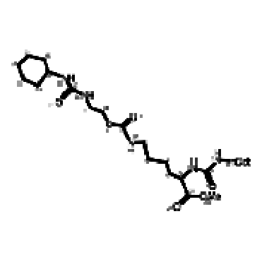 CCCCCCCCNC(=O)NC(CCCCNC(=O)OCCNC(=O)NC1CCCCC1)C(=O)OC